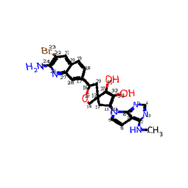 CNc1ncnc2c1ccn2C1CC2(COC(c3ccc4cc(Br)c(N)nc4c3)C2)C(O)C1O